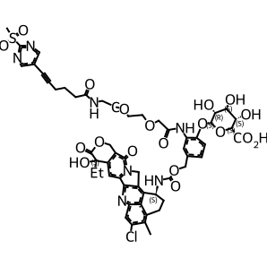 CC[C@@]1(O)C(=O)OCc2c1cc1n(c2=O)Cc2c-1nc1cc(Cl)c(C)c3c1c2[C@@H](NC(=O)OCc1ccc(O[C@@H]2O[C@H](C(=O)O)[C@@H](O)[C@H](O)[C@H]2O)c(NC(=O)COCCOCCNC(=O)CCCC#Cc2cnc(S(C)(=O)=O)nc2)c1)CC3